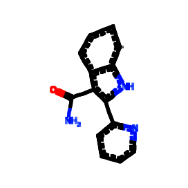 NC(=O)c1c(-c2ccccn2)[nH]c2[c]cccc12